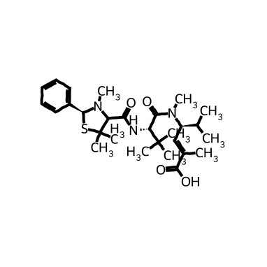 C/C(=C\[C@H](C(C)C)N(C)C(=O)[C@@H](NC(=O)C1N(C)[C@H](c2ccccc2)SC1(C)C)C(C)(C)C)C(=O)O